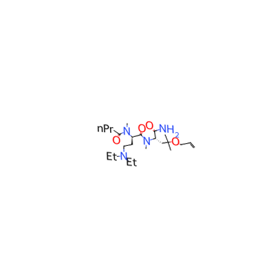 C=CCOC(C)(C)C[C@@H](C(N)=O)N(C)C(=O)[C@@H](CCN(CC)CC)N(C)C(=O)CCC